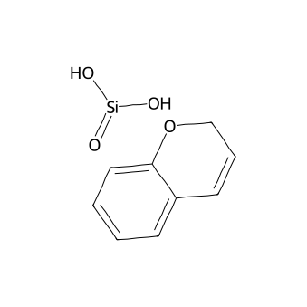 C1=Cc2ccccc2OC1.O=[Si](O)O